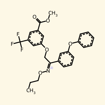 CCCO/N=C(\COc1cc(C(=O)OC)cc(C(F)(F)F)c1)c1cccc(Oc2ccccc2)c1